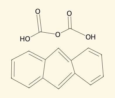 O=C(O)OC(=O)O.c1ccc2cc3ccccc3cc2c1